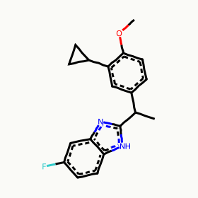 COc1ccc(C(C)c2nc3cc(F)ccc3[nH]2)cc1C1CC1